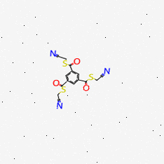 N#CCSC(=O)c1cc(C(=O)SCC#N)cc(C(=O)SCC#N)c1